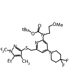 CCc1c(C)c(SCc2cc(N3CCC(F)(F)CC3)cc(N(CCOC)C(=O)OC(C)(C)C)n2)nn1C